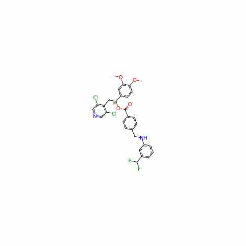 COc1ccc([C@H](Cc2c(Cl)cncc2Cl)OC(=O)c2ccc(CNc3cccc(C(F)F)c3)cc2)cc1OC